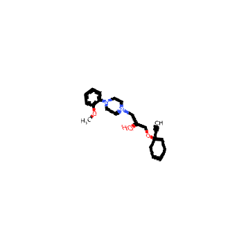 C#CC1(OCC(O)CN2CCN(c3ccccc3OC)CC2)CCCCC1